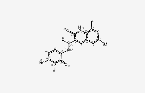 Cc1cc(Cl)cc2cc([C@H](C)Nc3ccc(C#N)n(C)c3=O)c(=O)[nH]c12